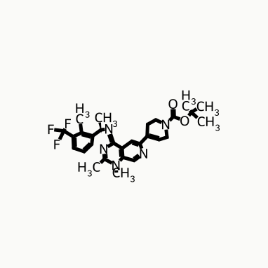 Cc1c([C@@H](C)/N=c2\nc(C)n(C)c3cnc(C4=CCN(C(=O)OC(C)(C)C)CC4)cc23)cccc1C(F)(F)F